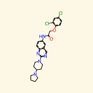 O=C(COc1ccc(Cl)cc1Cl)Nc1ccc2nc(N3CCC(N4CCCC4)CC3)ncc2c1